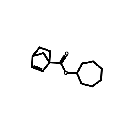 O=C(OC1CCCCCC1)C12C=CC(CC1)C2